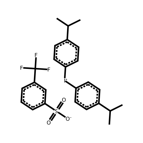 CC(C)c1ccc([I+]c2ccc(C(C)C)cc2)cc1.O=S(=O)([O-])c1cccc(C(F)(F)F)c1